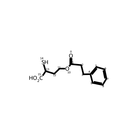 O=C(CCc1ccccc1)OCCC(S)C(=O)O